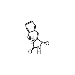 Nc1ccccc1C=C1SC(=O)NC1=O